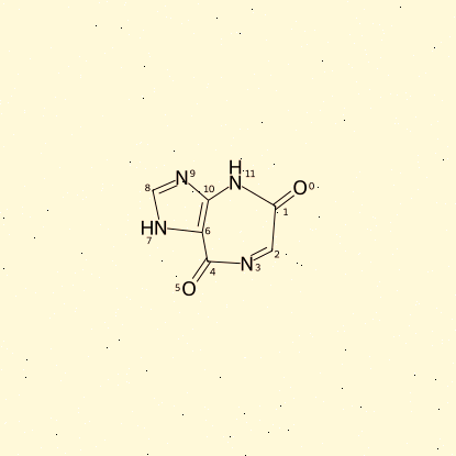 O=c1cnc(=O)c2[nH]cnc2[nH]1